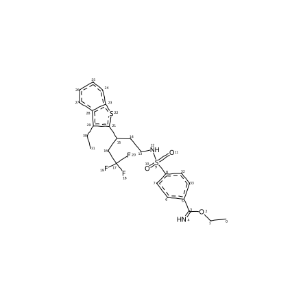 CCOC(=N)c1ccc(S(=O)(=O)NCCC(CC(F)(F)F)c2sc3ccccc3c2CC)cc1